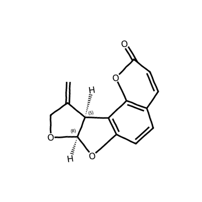 C=C1CO[C@@H]2Oc3ccc4ccc(=O)oc4c3[C@H]12